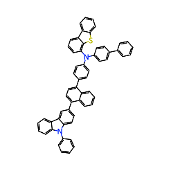 c1ccc(-c2ccc(N(c3ccc(-c4ccc(-c5ccc6c(c5)c5ccccc5n6-c5ccccc5)c5ccccc45)cc3)c3cccc4c3sc3ccccc34)cc2)cc1